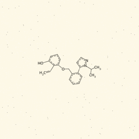 C=Cc1c(O)cccc1OCc1ccccc1-c1ccnn1C(C)C